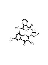 Cc1cc([C@H](C)Nc2ccccc2S(C)(=O)=O)c2nc(N3CC4CC4C3)n(C)c(=O)c2c1